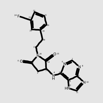 O=C1CC(Nc2ncnc3nc[nH]c23)C(=O)N1CCc1cccc(F)c1